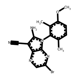 COc1ccc(C)c(-n2c(N)c(C#N)c3ncc(Br)nc32)c1C